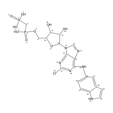 O=P(O)(O)CP(=O)(O)OCC1OC(n2cnc3c(Nc4ccc5[nH]ccc5c4)nc(Cl)nc32)C(O)C1O